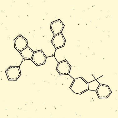 CC1(C)C2=CC(c3ccc(N(c4ccc5ccccc5c4)c4ccc5c(c4)c4ccccc4n5-c4ccccc4)cc3)=CCC=C2c2ccccc21